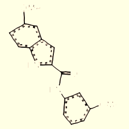 COc1cccc(NC(=O)c2cc3cc(OC)ccc3[nH]2)c1